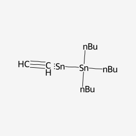 C#C.CCC[CH2][Sn]([Sn])([CH2]CCC)[CH2]CCC